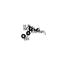 N#Cc1c(N)nc(SCc2csc(N)n2)c(C#N)c1-c1ccc(O[C@H]2CCCC[C@@H]2O)cc1